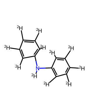 [2H]c1c([2H])c([2H])c(N([2H])c2c([2H])c([2H])c([2H])c([2H])c2[2H])c([2H])c1[2H]